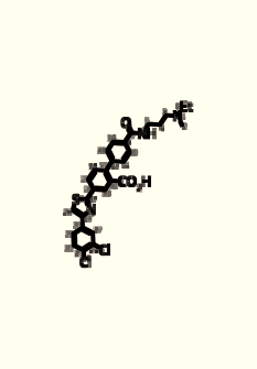 CCN(C)CCCNC(=O)c1ccc(-c2ccc(-c3nc(-c4ccc(Cl)c(Cl)c4)cs3)cc2C(=O)O)cc1